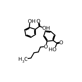 CCCCCOc1ccccc1C(=O)O.O=C(O)c1ccccc1O